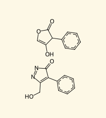 O=C1N=NC(CO)=C1c1ccccc1.O=C1OC=C(O)C1c1ccccc1